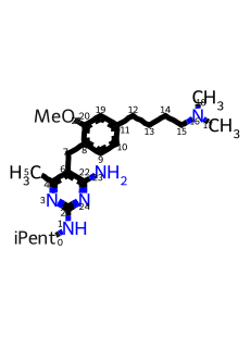 CCCC(C)Nc1nc(C)c(Cc2ccc(CCCCN(C)C)cc2OC)c(N)n1